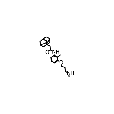 CNCCCOc1cccc(NC(=O)CC23CC4CC(CC(C4)C2)C3)c1C